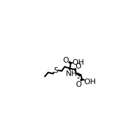 CCCSCCC(N)(C(=O)O)C(=O)C=CC(=O)O